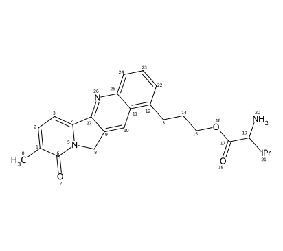 Cc1ccc2n(c1=O)Cc1cc3c(CCCOC(=O)C(N)C(C)C)cccc3nc1-2